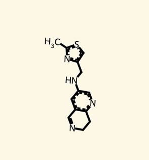 Cc1nc(CNc2cnc3c(c2)C=NCC3)cs1